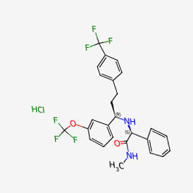 CNC(=O)[C@@H](N[C@H](CCc1ccc(C(F)(F)F)cc1)c1cccc(OC(F)(F)F)c1)c1ccccc1.Cl